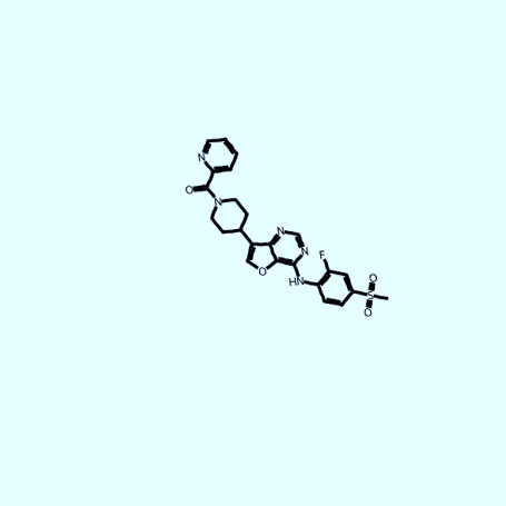 CS(=O)(=O)c1ccc(Nc2ncnc3c(C4CCN(C(=O)c5ccccn5)CC4)coc23)c(F)c1